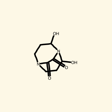 O=C1C(=O)N2C(O)CCN1CCC2O